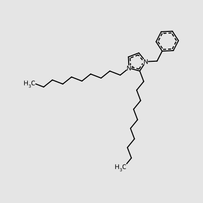 CCCCCCCCCCc1n(Cc2ccccc2)cc[n+]1CCCCCCCCCC